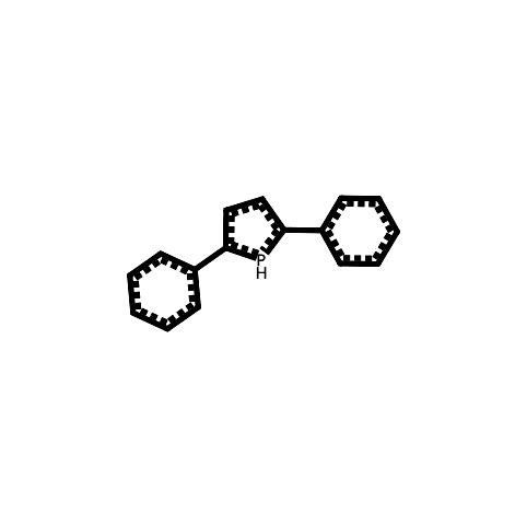 c1ccc(-c2ccc(-c3ccccc3)[pH]2)cc1